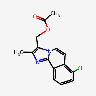 CC(=O)OCc1c(C)nc2c3cccc(Cl)c3ccn12